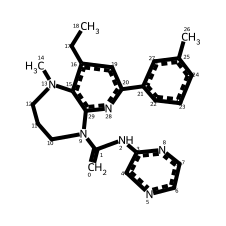 C=C(Nc1cnccn1)N1CCCN(C)c2c(CC)cc(-c3cccc(C)c3)nc21